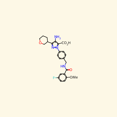 COc1ccc(F)cc1C(=O)NCc1ccc(-n2nc(C3CCCOC3)c(N)c2C(=O)O)cc1